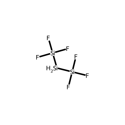 F[Si](F)(F)[SiH2][Si](F)(F)F